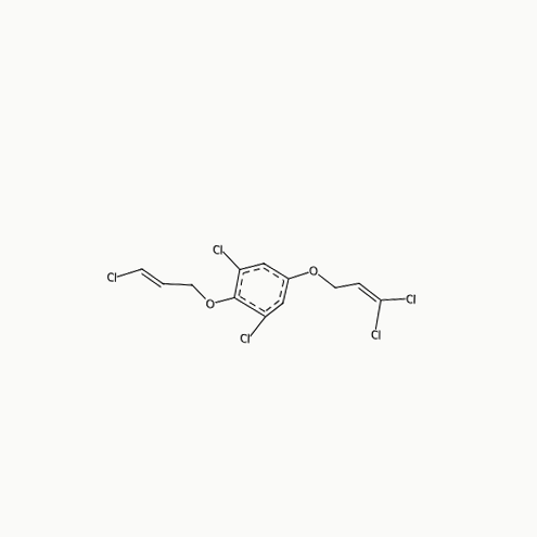 ClC=CCOc1c(Cl)cc(OCC=C(Cl)Cl)cc1Cl